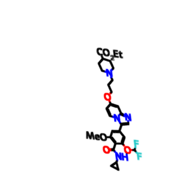 CCOC(=O)C1CCN(CCCOc2ccn3c(-c4cc(OC)c(C(=O)NC5CC5)c(OC(F)F)c4)cnc3c2)CC1